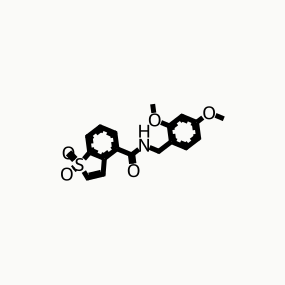 COc1ccc(CNC(=O)c2cccc3c2C=CS3(=O)=O)c(OC)c1